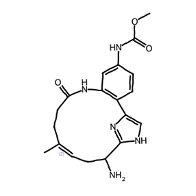 COC(=O)Nc1ccc2c(c1)NC(=O)CC/C(C)=C\CC(N)c1nc-2c[nH]1